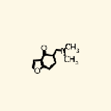 CN(C)CC1CCc2occc2C1=O